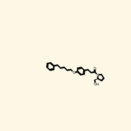 O=C(CCc1ccc(OCCCCCc2ccccc2)cc1)N1CCC[C@H]1CO